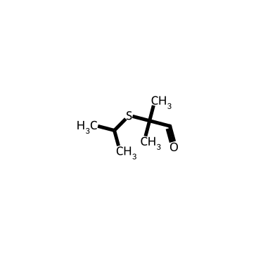 CC(C)SC(C)(C)C=O